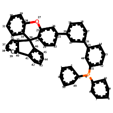 c1ccc(P(c2ccccc2)c2cccc(-c3cccc(-c4ccc5c(c4)Oc4ccccc4C54c5ccccc5-c5ccccc54)c3)c2)cc1